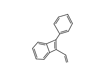 C=CC1=C(c2ccccc2)c2ccccc21